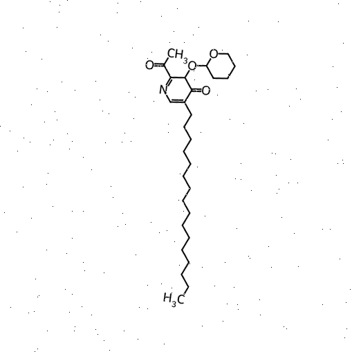 CCCCCCCCCCCCCCCCC1=CN=C(C(C)=O)C(OC2CCCCO2)C1=O